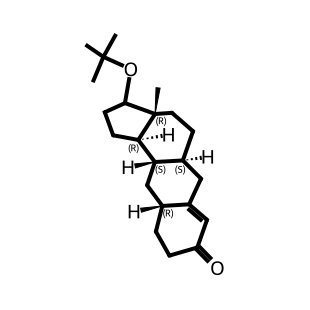 CC(C)(C)OC1CC[C@@H]2[C@H]3C[C@H]4CCC(=O)C=C4C[C@@H]3CC[C@@]12C